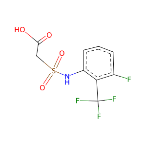 O=C(O)CS(=O)(=O)Nc1cccc(F)c1C(F)(F)F